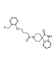 O=C(CCCOc1ccccc1CF)N1CCC2(CC1)C(=O)Nc1ccccc12